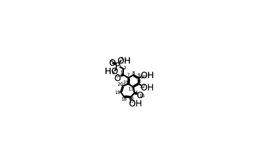 O=C(CP(=O)(O)O)c1cc(O)c(O)c2c(=O)c(O)cccc12